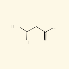 CCC(=S)CC(C)S